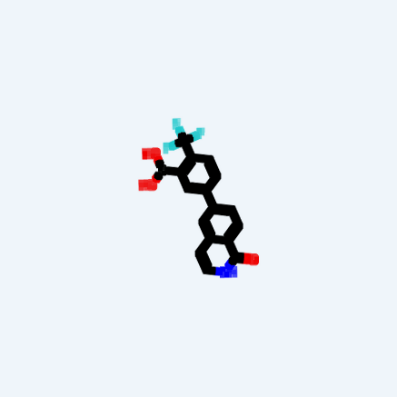 O=c1[nH]ccc2cc(-c3ccc(C(F)(F)F)c(B(O)O)c3)ccc12